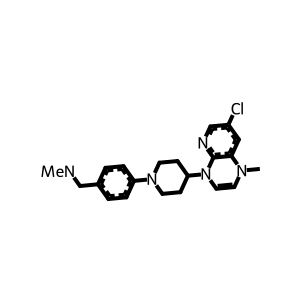 CNCc1ccc(N2CCC(N3C=CN(C)c4cc(Cl)cnc43)CC2)cc1